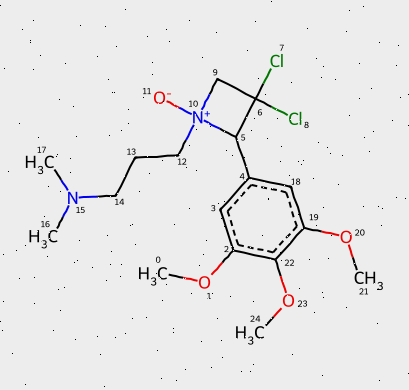 COc1cc(C2C(Cl)(Cl)C[N+]2([O-])CCCN(C)C)cc(OC)c1OC